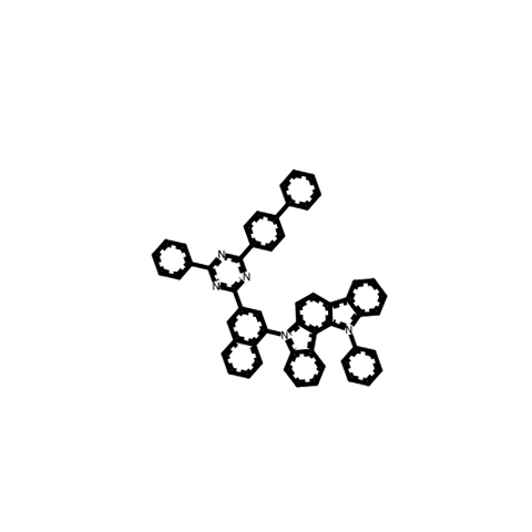 c1ccc(-c2ccc(-c3nc(-c4ccccc4)nc(-c4cc(-n5c6ccccc6c6c5ccc5c7ccccc7n(-c7ccccc7)c56)c5ccccc5c4)n3)cc2)cc1